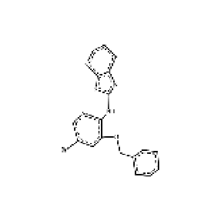 Brc1cnc(Nc2nc3cccnc3s2)c(OCc2ccccc2)c1